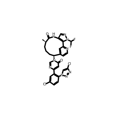 C[C@@H]1CCC[C@H](n2cnc(-c3cc(Cl)ccc3-n3cc(Cl)nn3)cc2=O)c2ccnc(c2)-c2c(cnn2C(F)F)NC1=O